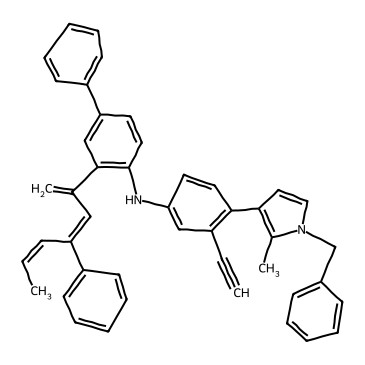 C#Cc1cc(Nc2ccc(-c3ccccc3)cc2C(=C)/C=C(\C=C/C)c2ccccc2)ccc1-c1ccn(Cc2ccccc2)c1C